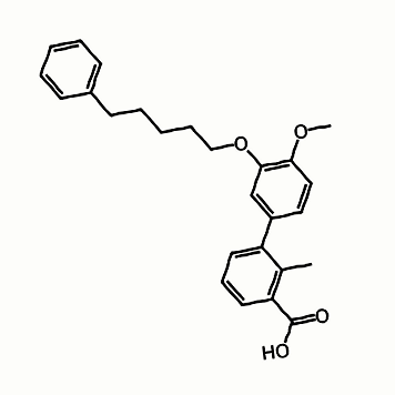 COc1ccc(-c2cccc(C(=O)O)c2C)cc1OCCCCCc1ccccc1